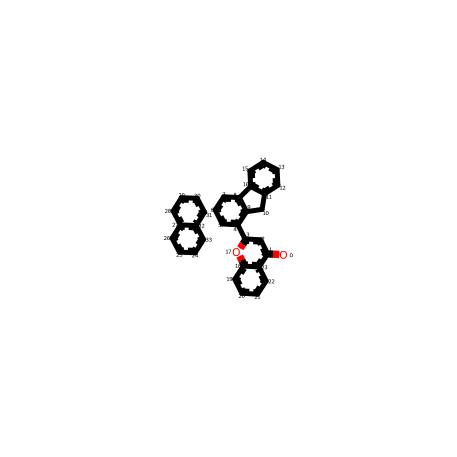 O=c1cc(-c2cccc3c2Cc2ccccc2-3)oc2ccccc12.c1ccc2ccccc2c1